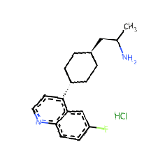 CC(N)C[C@H]1CC[C@H](c2ccnc3ccc(F)cc32)CC1.Cl